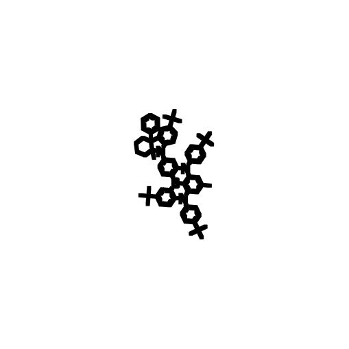 Cc1cc2c3c(c1)N(c1ccc(C(C)(C)C)cc1)c1cc(N4c5ccc(C(C)(C)C)cc5C5(c6ccccc6)CCCCC45C)ccc1B3c1cc(C(C)(C)C)ccc1N2c1ccc(C(C)(C)C)cc1